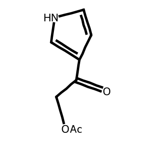 CC(=O)OCC(=O)c1cc[nH]c1